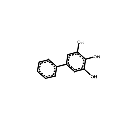 Oc1[c]c(-c2[c]cccc2)cc(O)c1O